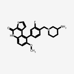 COc1ccc2[nH]c(=O)c3sccc3c2c1-c1ccc(CN2CCCC(N)C2)c(F)c1